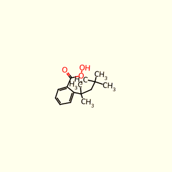 CC(C)(C)CC(C)(C)c1ccccc1C(=O)OO